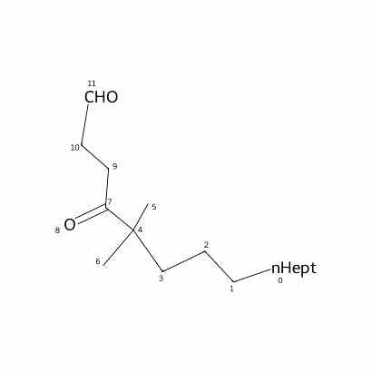 CCCCCCCCCCC(C)(C)C(=O)CCC=O